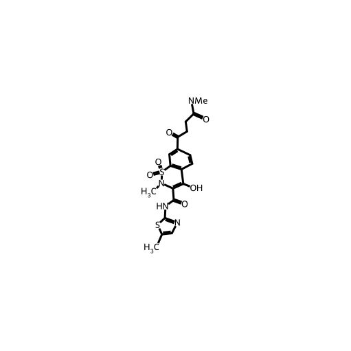 CNC(=O)CCC(=O)c1ccc2c(c1)S(=O)(=O)N(C)C(C(=O)Nc1ncc(C)s1)=C2O